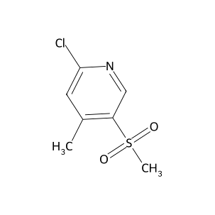 Cc1cc(Cl)ncc1S(C)(=O)=O